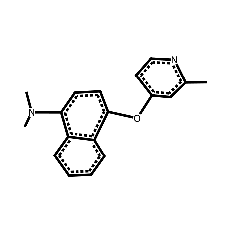 Cc1cc(Oc2ccc(N(C)C)c3ccccc23)ccn1